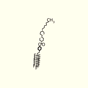 CCCCCCC[C@H]1CC[C@H]([C@H]2CC[C@H](C(=O)Oc3ccc(CCC(F)(F)C(F)(F)C(F)(F)C(F)(F)C(F)(F)C(F)(F)F)cc3)CC2)CC1